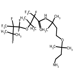 CC(C)(CCOC(C)(C)CCN)NC(=O)C(F)(C(F)(F)F)C(C)(C)OC(F)(F)C(F)(C(C)(C)F)C(F)(F)F